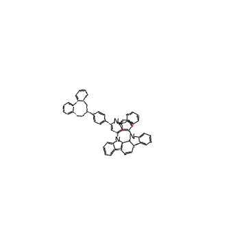 C1=CC2c3ccccc3N(c3ccccc3)C2c2c1c1ccccc1n2-c1cc(-c2ccccc2)nc(-c2ccc(C3CCc4ccccc4-c4ccccc4C3)cc2)c1